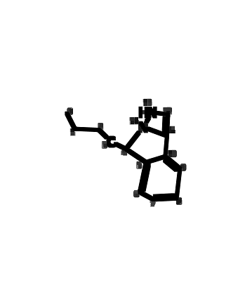 CCCCC1c2ccccc2-c2c[nH]n21